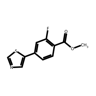 COC(=O)c1ccc(-c2cncs2)cc1F